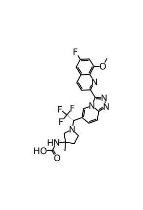 COc1cc(F)cc2ccc(-c3nnc4ccc([C@H](N5CCC(C)(NC(=O)O)C5)C(F)(F)F)cn34)nc12